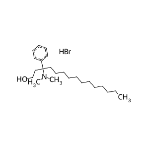 Br.CCCCCCCCCCCCC(CCO)(c1ccccc1)N(C)C